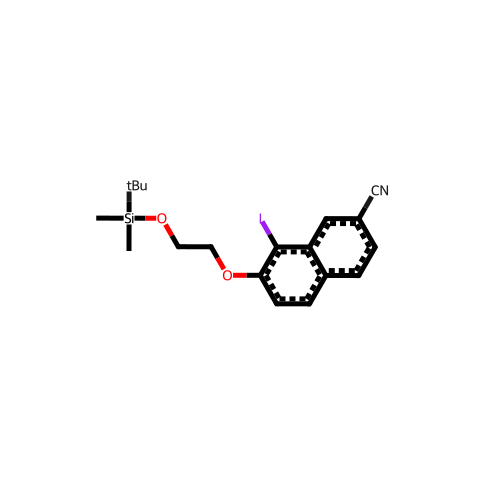 CC(C)(C)[Si](C)(C)OCCOc1ccc2ccc(C#N)cc2c1I